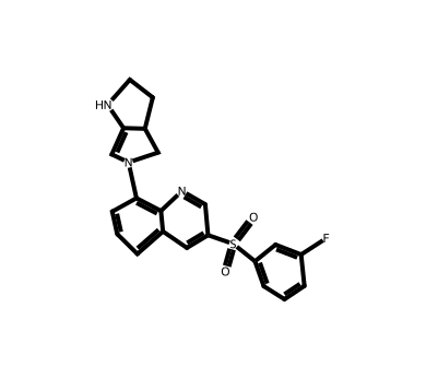 O=S(=O)(c1cccc(F)c1)c1cnc2c(N3C=C4NCCC4C3)cccc2c1